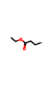 [CH2]CCC(=O)OCC